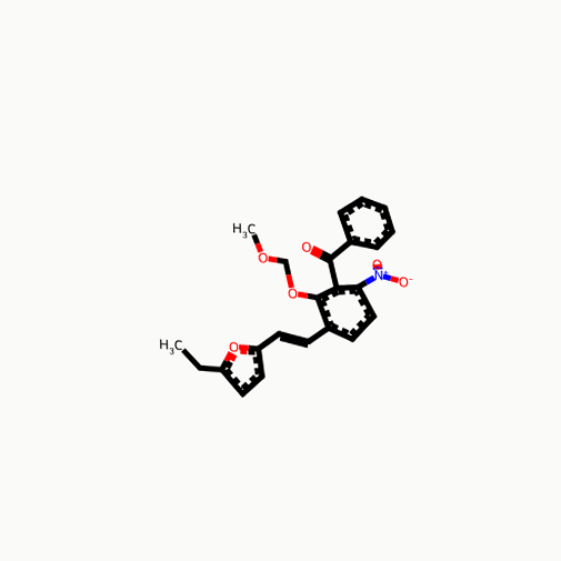 CCc1ccc(/C=C/c2ccc([N+](=O)[O-])c(C(=O)c3ccccc3)c2OCOC)o1